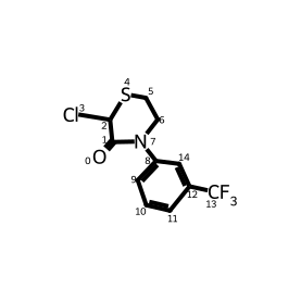 O=C1C(Cl)SCCN1c1cccc(C(F)(F)F)c1